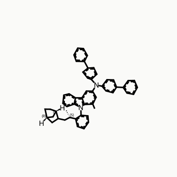 Cc1cc(N(c2ccc(-c3ccccc3)cc2)c2ccc(-c3ccccc3)cc2)cc2c3ccccc3n(-c3ccccc3[C@@H](C)CC3C[C@@H]4CC[C@H]3C4)c12